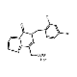 O=C([O-])Cc1nn(Cc2ccc(Br)cc2F)c(=O)c2ccccc12.[Na+]